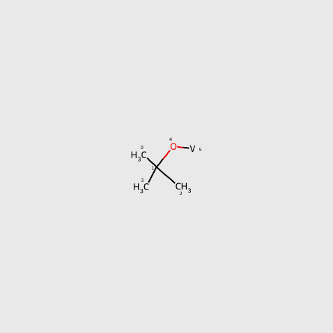 CC(C)(C)[O][V]